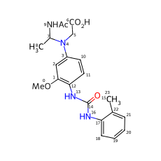 COc1cc(N(CC(=O)O)C(C)NC(C)=O)ccc1NC(=O)Nc1ccccc1C